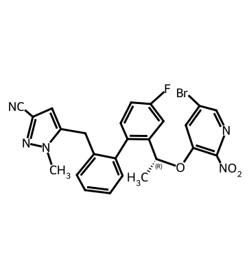 C[C@@H](Oc1cc(Br)cnc1[N+](=O)[O-])c1cc(F)ccc1-c1ccccc1Cc1cc(C#N)nn1C